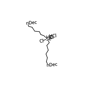 CCCCCCCCCCCCCCCC[Se](Cl)(Cl)CCCCCCCCCCCCCCCC.Cl.Cl